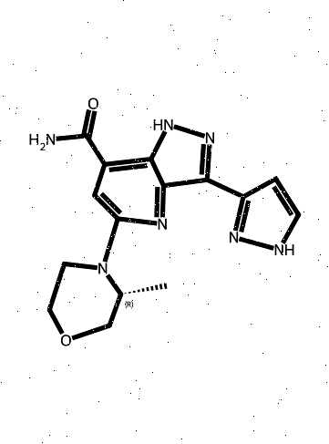 C[C@@H]1COCCN1c1cc(C(N)=O)c2[nH]nc(-c3cc[nH]n3)c2n1